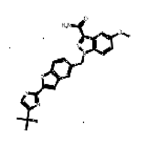 COc1ccc2c(c1)c(C(N)=O)nn2Cc1ccc2oc(-c3nc(C(C)(C)C)cs3)cc2c1